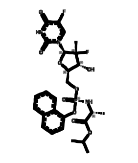 CC(C)OC(=O)[C@@H](C)N[P@](=O)(OC[C@H]1O[C@@H](n2cc(F)c(=O)[nH]c2=O)[C@](C)(F)[C@@H]1O)Oc1cccc2ccccc12